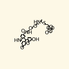 C=C(CSCCC(=O)ON1C(=O)CCC1=O)NCCOCCOCCNC(=O)c1ccc(C=N)c(-c2c3ccc(=O)cc-3oc3cc(O)ccc23)c1